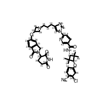 CC1(C)[C@H](NC(=O)c2ccc(-n3cc(CCCN4CC(Oc5ccc6c(c5)CN(C5CCC(=O)NC5=O)C6=O)C4)nn3)nc2)C(C)(C)[C@H]1Oc1ccc(C#N)c(Cl)c1